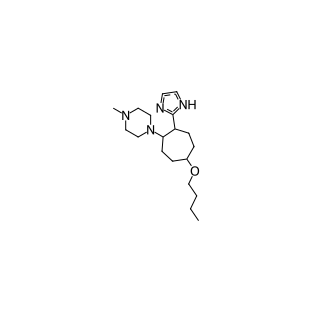 CCCCOC1CCC(c2ncc[nH]2)C(N2CCN(C)CC2)CC1